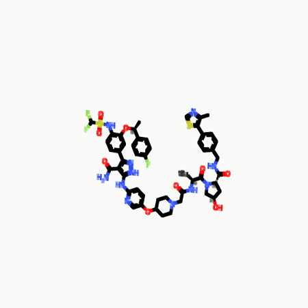 Cc1ncsc1-c1ccc(CNC(=O)[C@@H]2C[C@@H](O)CN2C(=O)[C@@H](NC(=O)CN2CCC(Oc3ccc(Nc4[nH]nc(-c5ccc(NS(=O)(=O)C(F)F)c(O[C@@H](C)c6ccc(F)cc6)c5)c4C(N)=O)nc3)CC2)C(C)(C)C)cc1